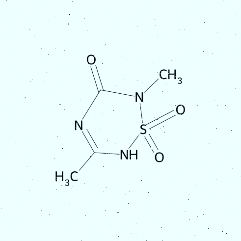 CC1=NC(=O)N(C)S(=O)(=O)N1